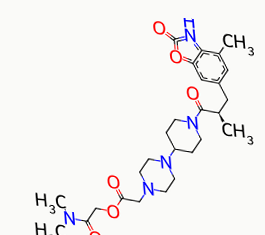 Cc1cc(C[C@@H](C)C(=O)N2CCC(N3CCN(CC(=O)OCC(=O)N(C)C)CC3)CC2)cc2oc(=O)[nH]c12